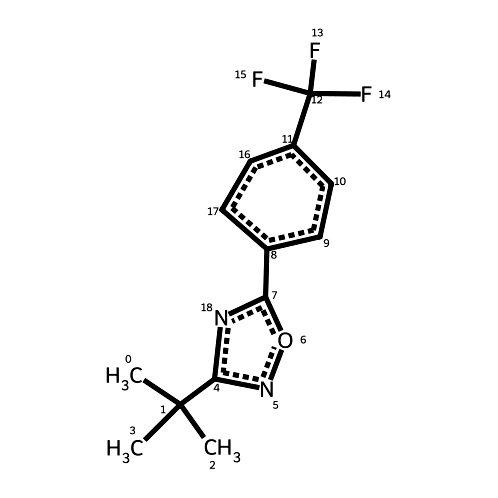 CC(C)(C)c1noc(-c2ccc(C(F)(F)F)cc2)n1